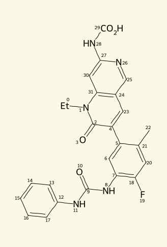 CCn1c(=O)c(-c2cc(NC(=O)Nc3ccccc3)c(F)cc2C)cc2cnc(NC(=O)O)cc21